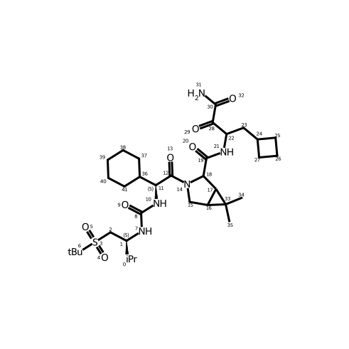 CC(C)[C@@H](CS(=O)(=O)C(C)(C)C)NC(=O)N[C@H](C(=O)N1CC2C(C1C(=O)NC(CC1CCC1)C(=O)C(N)=O)C2(C)C)C1CCCCC1